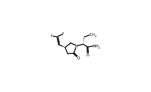 CC[C@H](C(N)=O)N1C[C@H](C=C(F)F)CC1=O